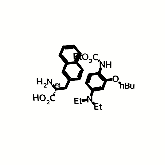 CCCCOc1cc(N(CC)CC)ccc1NC(=O)OCC.N[C@H](Cc1ccc2ccccc2c1)C(=O)O